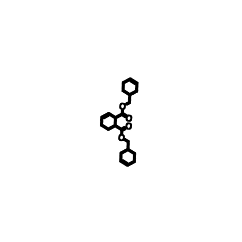 O=C(OCC1CC=CCC1)C1C=CCCC1C(=O)OCC1CC=CCC1